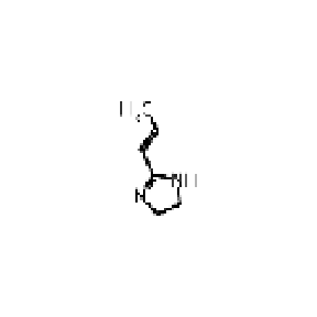 C/C=C/C1=NCCN1